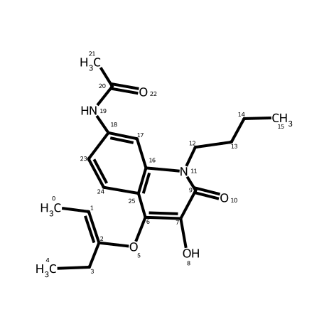 CC=C(CC)Oc1c(O)c(=O)n(CCCC)c2cc(NC(C)=O)ccc12